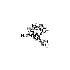 Cc1nc(Nc2ncc(C(=O)Nc3c(C)cccc3Cl)s2)nc(N2CCN(CCN(C)C)CC2)n1